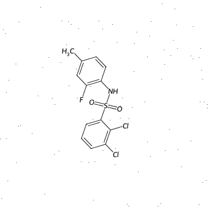 Cc1ccc(NS(=O)(=O)c2cccc(Cl)c2Cl)c(F)c1